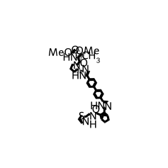 COC(=O)N[C@H](C(=O)N1CCC[C@H]1c1ncc(-c2ccc(-c3ccc(-c4cnc(C5C6CCC(C6)C5C(=O)NCc5nccs5)[nH]4)cc3)cc2)[nH]1)[C@@H](C)OC